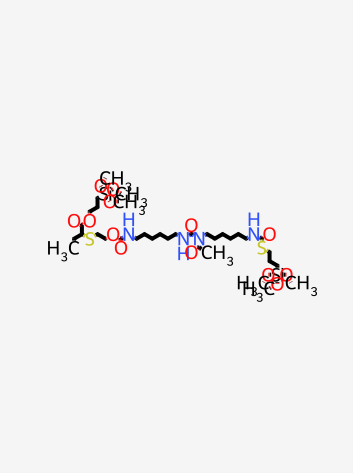 CCC(SCCOC(=O)NCCCCCCNC(=O)N(CCCCCCNC(=O)SCCC[Si](OC)(OC)OC)C(C)=O)C(=O)OCCC[Si](OC)(OC)OC